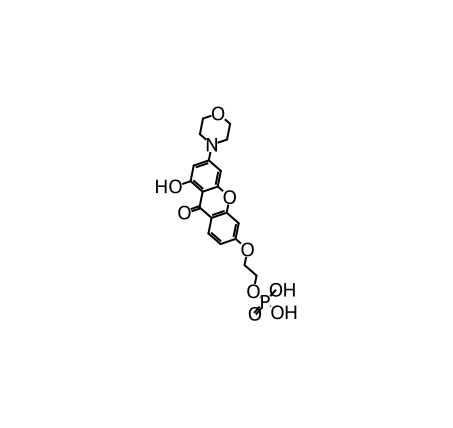 O=c1c2ccc(OCCOP(=O)(O)O)cc2oc2cc(N3CCOCC3)cc(O)c12